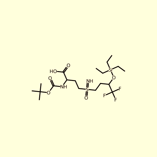 CC[Si](CC)(CC)OC(CCS(=N)(=O)CCC(NC(=O)OC(C)(C)C)C(=O)O)C(F)(F)F